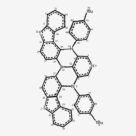 CC(C)(C)c1ccc(N2c3cncc4c3B(c3ccc5sc6ccccc6c5c32)c2ccc3sc5ccccc5c3c2N4c2ccc(C(C)(C)C)cc2)cc1